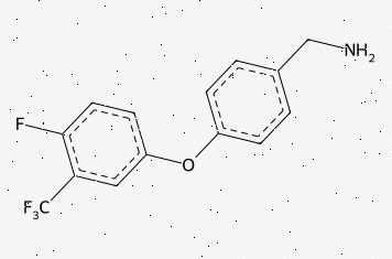 NCc1ccc(Oc2ccc(F)c(C(F)(F)F)c2)cc1